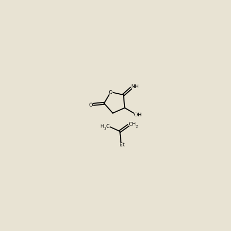 C=C(C)CC.N=C1OC(=O)CC1O